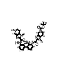 CN1CCc2c(nc(C(=O)Nc3cccc(-c4cccc(NC(=O)c5nc6c(n5C)CCN(C(=O)OC(C)(C)C)C6)c4Cl)c3Cl)n2C)C1